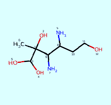 CC(O)(C(O)O)C(N)C(N)CCO